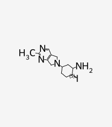 Cc1ncc2c(n1)CN(C1CC[C@H](I)C(N)C1)C2